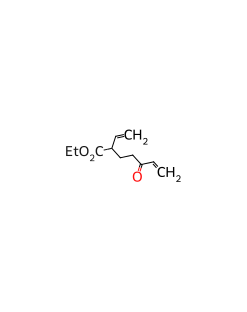 C=CC(=O)CCC(C=C)C(=O)OCC